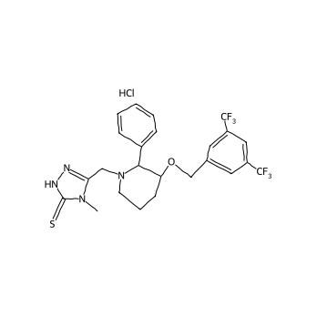 Cl.Cn1c(CN2CCCC(OCc3cc(C(F)(F)F)cc(C(F)(F)F)c3)C2c2ccccc2)n[nH]c1=S